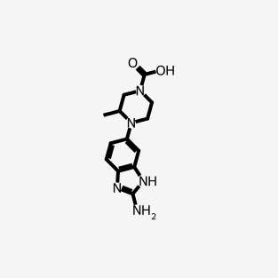 CC1CN(C(=O)O)CCN1c1ccc2nc(N)[nH]c2c1